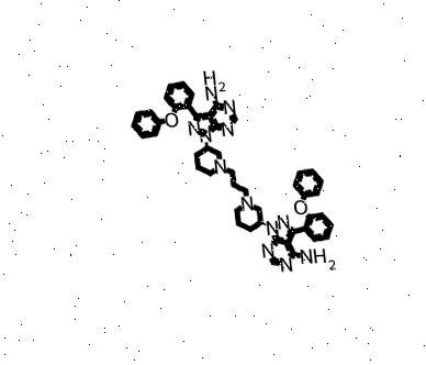 Nc1ncnc2c1c(-c1ccccc1Oc1ccccc1)nn2[C@@H]1CCCN(CCCN2CCC[C@@H](n3nc(-c4ccccc4Oc4ccccc4)c4c(N)ncnc43)C2)C1